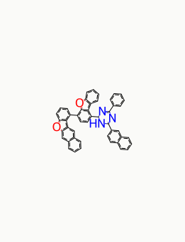 c1ccc(C2=NC(c3ccc(-c4cccc5oc6cc7ccccc7cc6c45)c4oc5ccccc5c34)NC(c3ccc4ccccc4c3)=N2)cc1